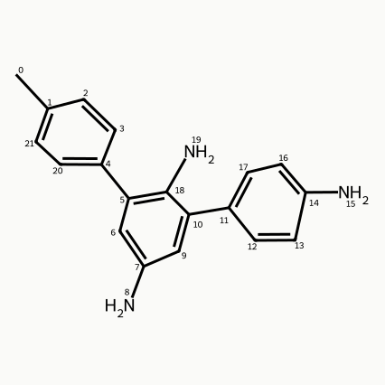 Cc1ccc(-c2cc(N)cc(-c3ccc(N)cc3)c2N)cc1